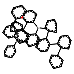 c1ccc(-c2ccccc2-c2ccccc2-c2ccccc2N(c2ccccc2-c2cccc3cccc(-c4ccccc4)c23)c2cccc3c2c2ccccc2n3-c2ccccc2)cc1